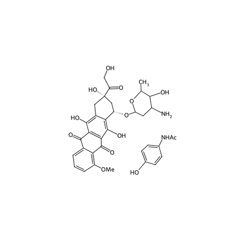 CC(=O)Nc1ccc(O)cc1.COc1cccc2c1C(=O)c1c(O)c3c(c(O)c1C2=O)C[C@@](O)(C(=O)CO)C[C@@H]3OC1CC(N)C(O)C(C)O1